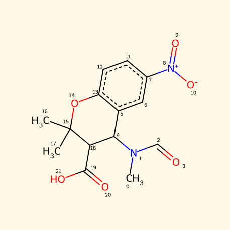 CN(C=O)C1c2cc([N+](=O)[O-])ccc2OC(C)(C)C1C(=O)O